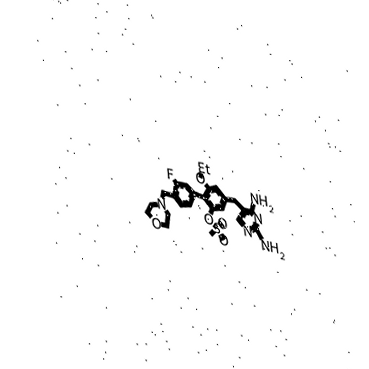 CCOc1cc(Cc2cnc(N)nc2N)cc(OS(C)(=O)=O)c1-c1ccc(CN2CCOCC2)c(F)c1